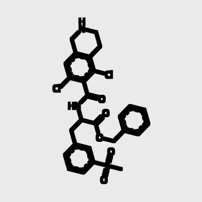 CS(=O)(=O)c1cccc(CC(NC(=O)c2c(Cl)cc3c(c2Cl)CCNC3)C(=O)OCc2ccccc2)c1